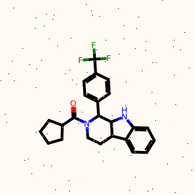 O=C(C1CCCC1)N1CCC2c3ccccc3NC2C1c1ccc(C(F)(F)F)cc1